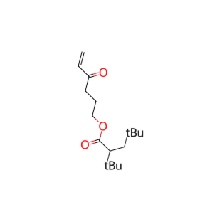 C=CC(=O)CCCOC(=O)C(CC(C)(C)C)C(C)(C)C